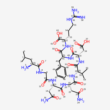 CC(C)C[C@H](N)C(=O)NCC(=O)N[C@@H](CC(N)=O)C(=O)N[C@@H](CC(N)=O)C(=O)N[C@H](C(=O)N[C@@H](CC(=O)O)C(=O)N[C@@H](Cc1ccccc1)C(=O)N[C@@H](CCCNC(=N)N)C(=O)O)C(C)C